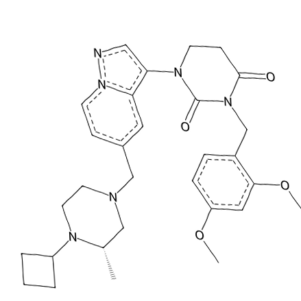 COc1ccc(CN2C(=O)CCN(c3cnn4ccc(CN5CCN(C6CCC6)[C@@H](C)C5)cc34)C2=O)c(OC)c1